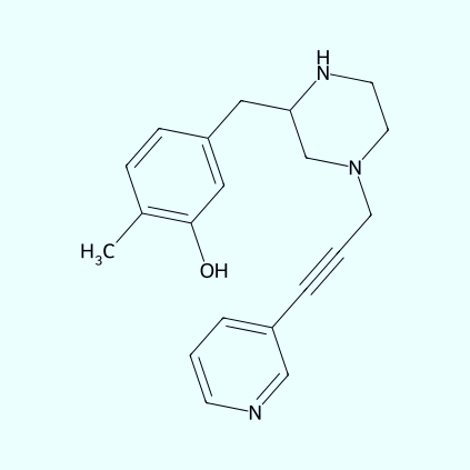 Cc1ccc(CC2CN(CC#Cc3cccnc3)CCN2)cc1O